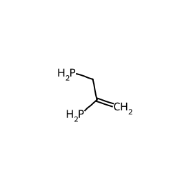 C=C(P)CP